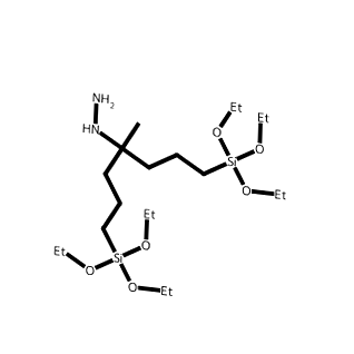 CCO[Si](CCCC(C)(CCC[Si](OCC)(OCC)OCC)NN)(OCC)OCC